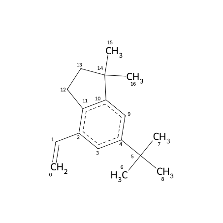 C=Cc1cc(C(C)(C)C)cc2c1CCC2(C)C